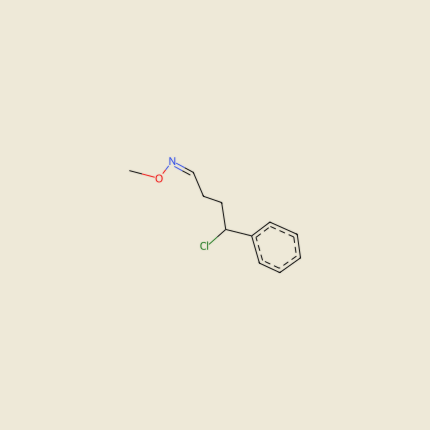 CO/N=C\CCC(Cl)c1ccccc1